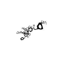 CC1(C)C[C@@H](NCc2ccc(O)cc2)CCN1C(=O)C(=O)NC(=O)[C@H](CC1CCCC1)CN(O)C=O